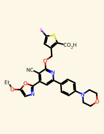 CCOc1cnc(-c2cc(-c3ccc(N4CCOCC4)cc3)nc(OCc3cc(I)sc3C(=O)O)c2C#N)o1